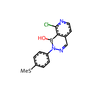 CSc1ccc(N2N=Cc3ccnc(Cl)c3B2O)cc1